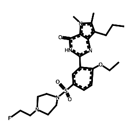 CCCc1c(C)n(C)c2c(=O)[nH]c(-c3cc(S(=O)(=O)N4CCN(CCF)CC4)ccc3OCC)nc12